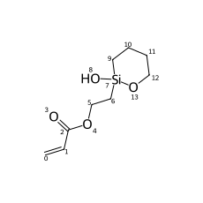 C=CC(=O)OCC[Si]1(O)CCCCO1